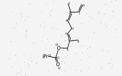 C=CC(C)=CCC=C(C)COC(=O)C(C)C